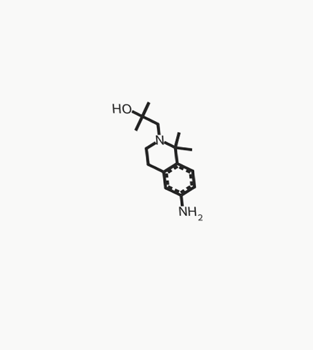 CC(C)(O)CN1CCc2cc(N)ccc2C1(C)C